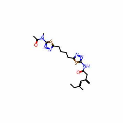 C=C(/C=C(\C)CC)CC(=O)Nc1nnc(CCCCc2nnc(N(C)C(C)=O)s2)s1